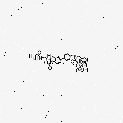 CC(=O)NC[C@@H]1OC(=O)N2c3ccc(-c4ccc(CN(Cc5cnn[nH]5)C(=O)COP(=O)(O)O)cc4)cc3C[C@@H]12